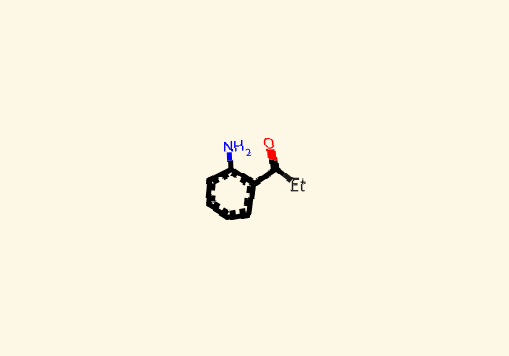 [CH2]CC(=O)c1ccccc1N